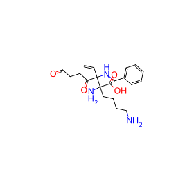 C=CC(NCc1ccccc1)(C(=O)CCC=O)C(N)(CCCCN)C(=O)O